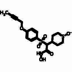 CC#CCOc1ccc(S(=O)(=O)C(C(=O)NO)C2CC[S+]([O-])CC2)cc1